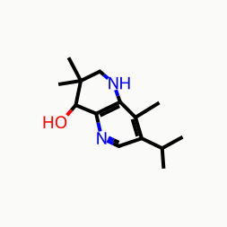 Cc1c(C(C)C)cnc2c1NCC(C)(C)C2O